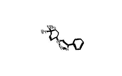 CC(C)C1(C(C)(C)C)CCC(n2cc(-c3ccccc3)nn2)CC1